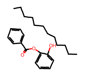 CCCCCCCCCCCC.O=C(Oc1ccccc1O)c1ccccc1